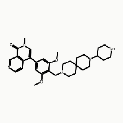 COc1cc(-c2cn(C)c(=O)c3cnccc23)cc(OC)c1CN1CCC2(CC1)CCN(C1CCNCC1)CC2